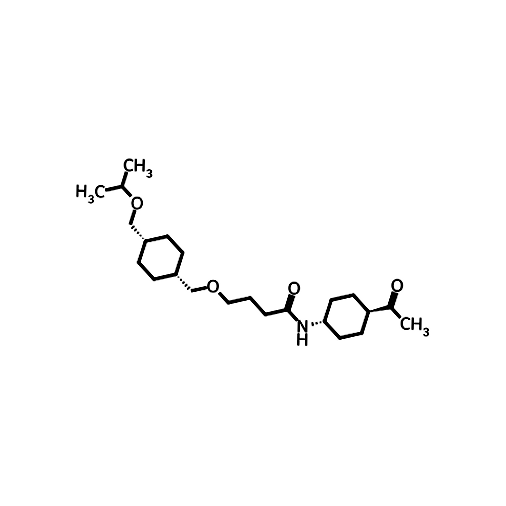 CC(=O)[C@H]1CC[C@H](NC(=O)CCCOC[C@H]2CC[C@@H](COC(C)C)CC2)CC1